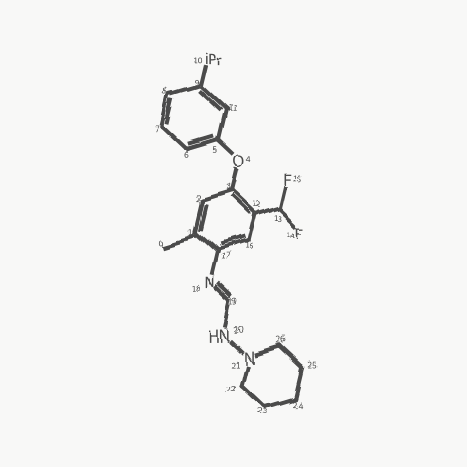 Cc1cc(Oc2cccc(C(C)C)c2)c(C(F)F)cc1N=CNN1CCCCC1